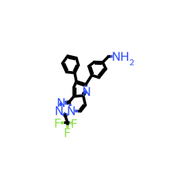 NCc1ccc(-c2nc3ccn4c(C(F)(F)F)nnc4c3cc2-c2ccccc2)cc1